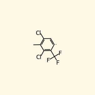 Cc1c(Cl)c[c]c(C(F)(F)F)c1Cl